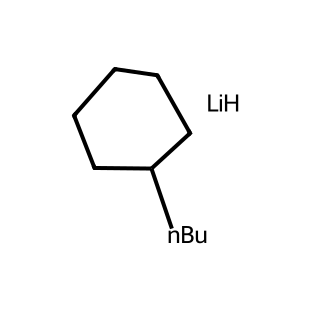 CCCCC1CCCCC1.[LiH]